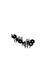 N[C@H](CNC(=O)C1CCCc2ccccc21)c1ccc(C(=O)Nc2ccncc2)cc1